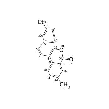 CCc1ccc2c(ccc3c4ccc(C)cc4c(=O)oc23)c1